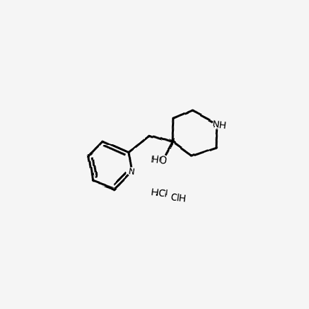 Cl.Cl.OC1(Cc2ccccn2)CCNCC1